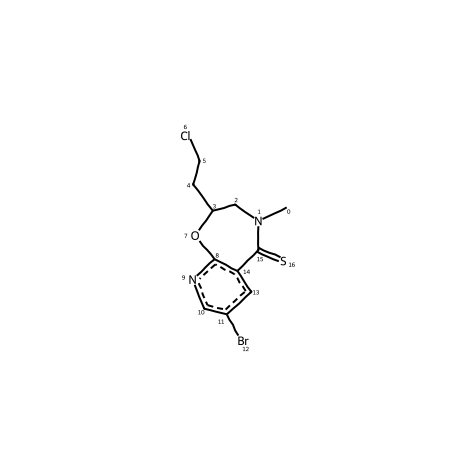 CN1CC(CCCl)Oc2ncc(Br)cc2C1=S